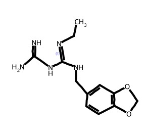 CC/N=C(\NCc1ccc2c(c1)OCO2)NC(=N)N